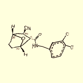 N#C[C@H]1[C@H](C(=O)Nc2ccc(Cl)c(Cl)c2)[C@@H]2CC[C@H]1O2